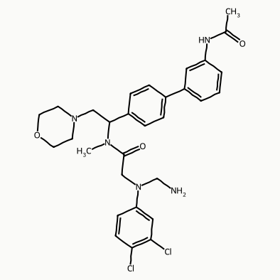 CC(=O)Nc1cccc(-c2ccc(C(CN3CCOCC3)N(C)C(=O)CN(CN)c3ccc(Cl)c(Cl)c3)cc2)c1